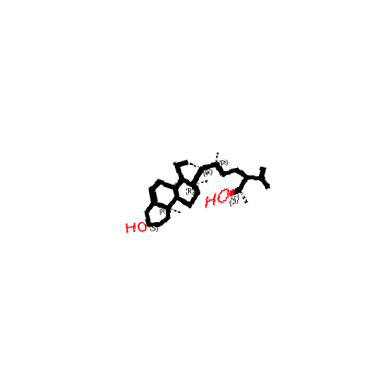 CC(C)C(CC[C@@H](C)[C@H]1CCC2C3CC=C4C[C@@H](O)CC[C@]4(C)C3CC[C@@]21C)[C@H](C)O